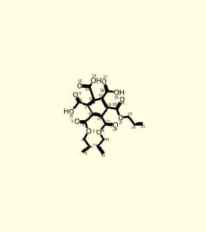 C=CCOC(=O)c1c(C(=O)O)c(C(=O)O)c(C(=O)O)c(C(=O)OCC=C)c1C(=O)OCC=C